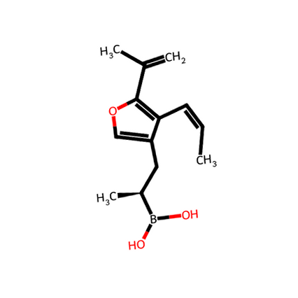 C=C(C)c1occ(C[C@H](C)B(O)O)c1/C=C\C